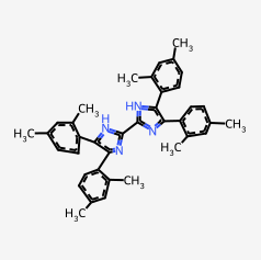 Cc1ccc(-c2nc(-c3nc(-c4ccc(C)cc4C)c(-c4ccc(C)cc4C)[nH]3)[nH]c2-c2ccc(C)cc2C)c(C)c1